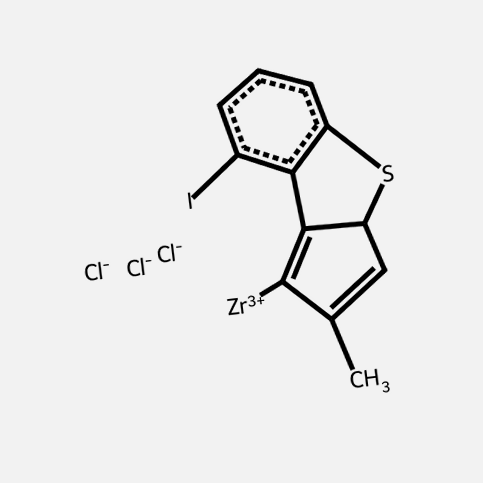 CC1=CC2Sc3cccc(I)c3C2=[C]1[Zr+3].[Cl-].[Cl-].[Cl-]